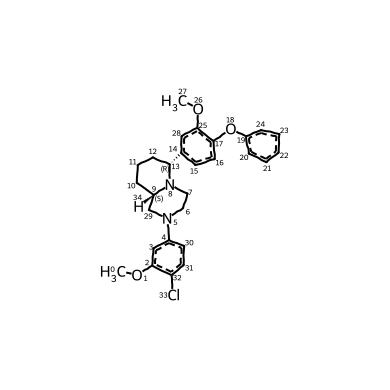 COc1cc(N2CCN3[C@@H](CCC[C@@H]3c3ccc(Oc4ccccc4)c(OC)c3)C2)ccc1Cl